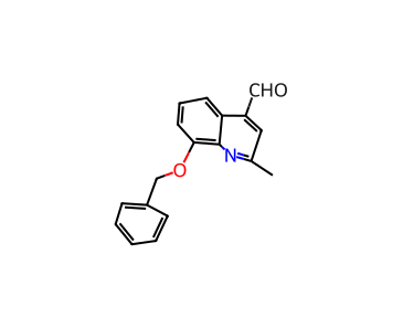 Cc1cc(C=O)c2cccc(OCc3ccccc3)c2n1